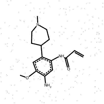 C=CC(=O)Nc1cc(N)c(OC)cc1C1CCN(C)CC1